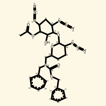 CC(=O)OC1C(N=[N+]=[N-])CC(N=[N+]=[N-])C(OC2OC(CN(Cc3ccccc3)C(=O)OCc3ccccc3)CCC2N=[N+]=[N-])C1O